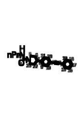 CCCNC(=O)N1CCC(c2ccc(C#Cc3ccccc3)cc2)CC1